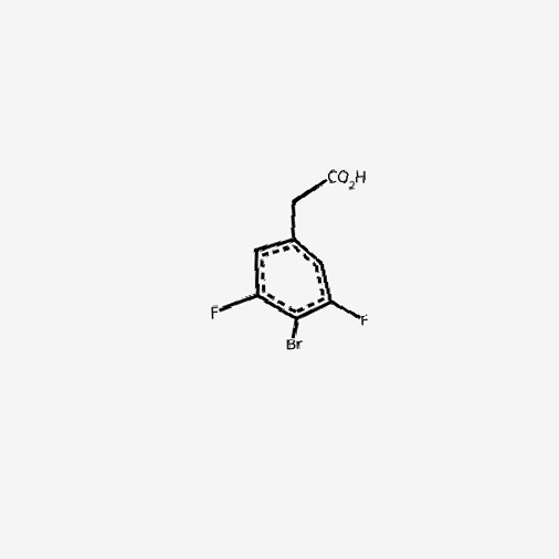 O=C(O)Cc1cc(F)c(Br)c(F)c1